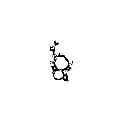 CO[C@H]1/C=C/C[C@H](C)[C@@H](C)S(=O)(NC(=O)c2cnn(C3COC3)c2)=NC(=O)c2ccc3c(c2)N(Cc2ccc(Cl)cc2CCCCO3)C[C@@H]2CC[C@H]21